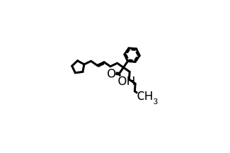 CCCCCC(CCC=CCC1CCCC1)(C(=O)O)c1ccccc1